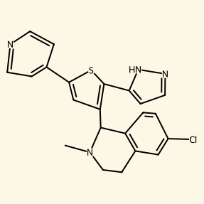 CN1CCc2cc(Cl)ccc2C1c1cc(-c2ccncc2)sc1-c1ccn[nH]1